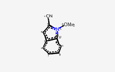 COn1c(C#N)cc2ccccc21